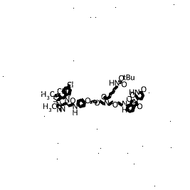 CC1=C(C)C2C(c3ccc(Cl)cc3)=N[C@@H](CC(=O)Nc3ccc(OCCOCCN(CCOCCNc4cccc5c4C(=O)N(C4CCC(=O)NC4=O)C5=O)C(=O)CCCCCNC(=O)OC(C)(C)C)cc3)c3nnc(C)n3C2S1